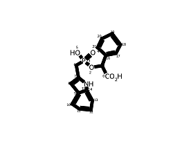 O=C(O)C(OP(=O)(O)Cc1cc2ccccc2[nH]1)c1ccccc1